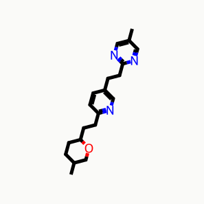 Cc1cnc(CCc2ccc(CCC3CCC(C)CO3)nc2)nc1